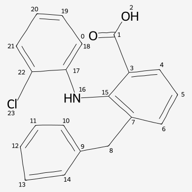 O=C(O)c1cccc(Cc2ccccc2)c1Nc1ccccc1Cl